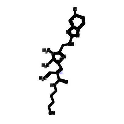 C=C/C(=C\c1nc(CNc2nc3ccc(Cl)cc3s2)n(C)c1C)C(=O)NCCCCO